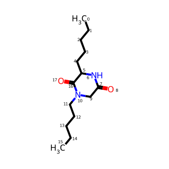 CCCCCC1NC(=O)CN(CCCCC)C1=O